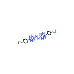 Clc1ccc(-c2nnc(/N=N/c3nnc(-c4ccc(Cl)cc4)nn3)nn2)cc1